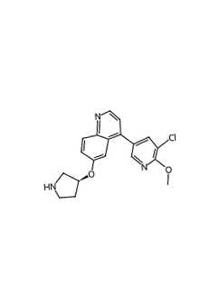 COc1ncc(-c2ccnc3ccc(O[C@H]4CCNC4)cc23)cc1Cl